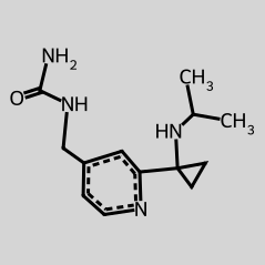 CC(C)NC1(c2cc(CNC(N)=O)ccn2)CC1